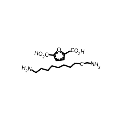 NCCCCCCCCCCN.O=C(O)c1ccc(C(=O)O)o1